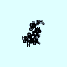 C[C@@H]1CN2c3c(cc4c(N5C(=O)OC[C@@H]5CN)noc4c3F)CC3(C(=O)NC(=O)NC3=O)[C@H]2[C@H](C)O1